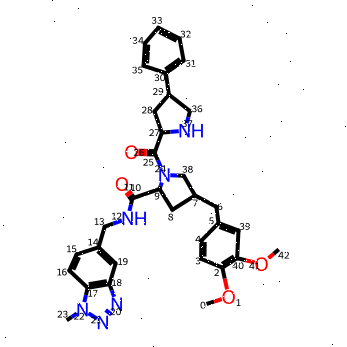 COc1ccc(CC2CC(C(=O)NCc3ccc4c(c3)nnn4C)N(C(=O)C3CC(c4ccccc4)CN3)C2)cc1OC